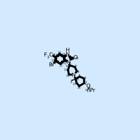 CCCO[C@H]1CC[C@@](C)(N2CCC(n3c(=O)[nH]c4cc(C(F)(F)F)c(Br)cc43)CC2)CC1